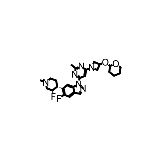 Cc1nc(N2CC(OC3CCCCO3)C2)cc(-n2ncc3cc(F)c([C@H]4CCN(C)C[C@H]4F)cc32)n1